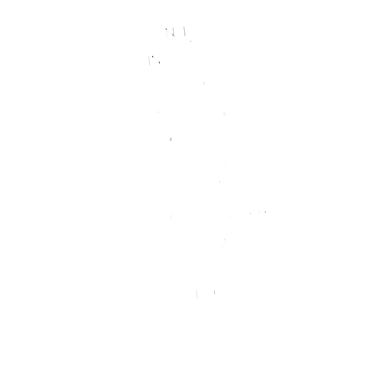 CCOC(=O)c1cc2ccc(NN)cc2oc1=O